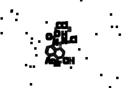 CC(=O)c1ccc2c3c1C(Br)C(O)CC3C(NCCl)N2C(=O)OCC(Cl)(Cl)Cl